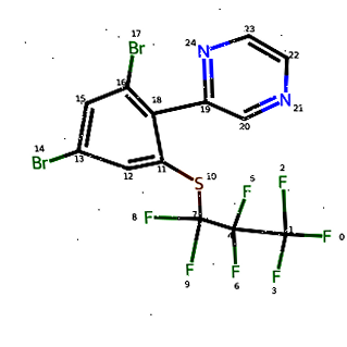 FC(F)(F)C(F)(F)C(F)(F)Sc1cc(Br)[c]c(Br)c1-c1cnccn1